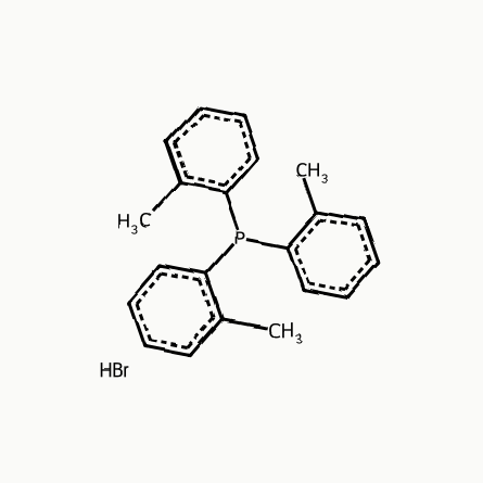 Br.Cc1ccccc1P(c1ccccc1C)c1ccccc1C